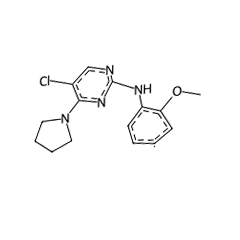 COc1c[c]ccc1Nc1ncc(Cl)c(N2CCCC2)n1